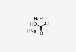 O=C(O)Cl.[NaH].[NaH]